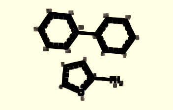 Pc1ccco1.c1ccc(-c2ccccc2)cc1